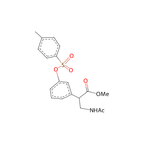 COC(=O)C(CNC(C)=O)c1cccc(OS(=O)(=O)c2ccc(C)cc2)c1